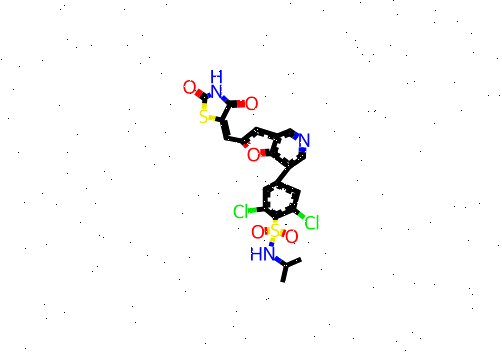 CC(C)NS(=O)(=O)c1c(Cl)cc(-c2cncc3cc(/C=C4/SC(=O)NC4=O)oc23)cc1Cl